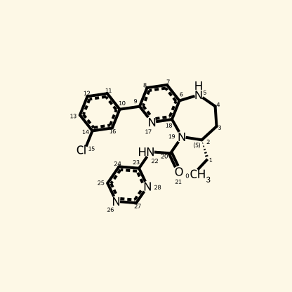 CC[C@H]1CCNc2ccc(-c3cccc(Cl)c3)nc2N1C(=O)Nc1ccncn1